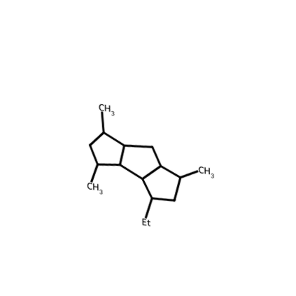 CCC1CC(C)C2CC3C(C)CC(C)C3C12